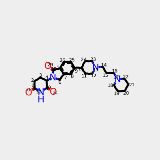 O=C1CCC(N2Cc3cc(C4CCN(CCCN5CCCCC5)CC4)ccc3C2=O)C(=O)N1